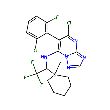 C[Si]1(C(Nc2c(-c3c(F)cccc3Cl)c(Cl)nc3ncnn23)C(F)(F)F)CCCCC1